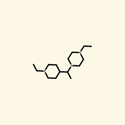 CCN1CCC(C(C)N2CCN(CC)CC2)CC1